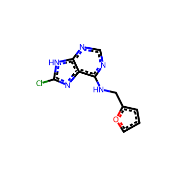 Clc1nc2c(NCc3ccco3)ncnc2[nH]1